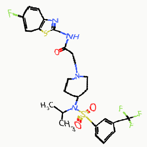 CC(C)N(C1CCN(CC(=O)Nc2nc3ccc(F)cc3s2)CC1)S(=O)(=O)c1cccc(C(F)(F)F)c1